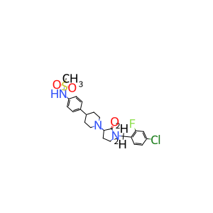 [2H]C([2H])(c1ccc(Cl)cc1F)N1CC[C@@H](N2CCC(c3ccc(NS(C)(=O)=O)cc3)CC2)C1=O